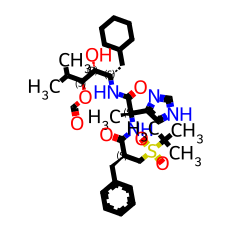 CC(C)[C@H](OC=O)[C@H](O)[C@H](CC1CCCCC1)NC(=O)[C@@](C)(NC(=O)[C@H](Cc1ccccc1)CS(=O)(=O)C(C)(C)C)c1c[nH]cn1